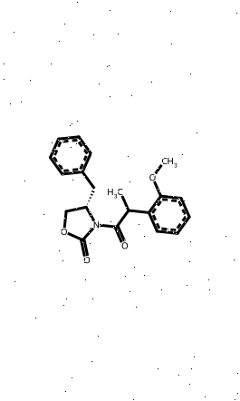 COc1ccccc1C(C)C(=O)N1C(=O)OC[C@@H]1Cc1ccccc1